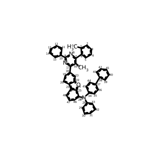 Cc1ccccc1-c1nc(-c2ccccc2)nc(-c2ccc3c(c2)oc2c(N(c4ccccc4)c4ccc(-c5ccccc5)cc4)cccc23)c1C